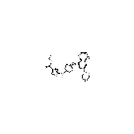 CCOC(=O)c1coc(NC2CCC(Nc3cc(N4CCOCC4)cc4nccnc34)CC2)n1